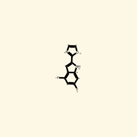 Fc1cc(F)c2cc(-c3ncco3)[nH]c2c1